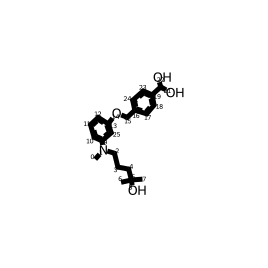 CN(CCCC(C)(C)O)c1cccc(OCc2ccc(C(O)O)cc2)c1